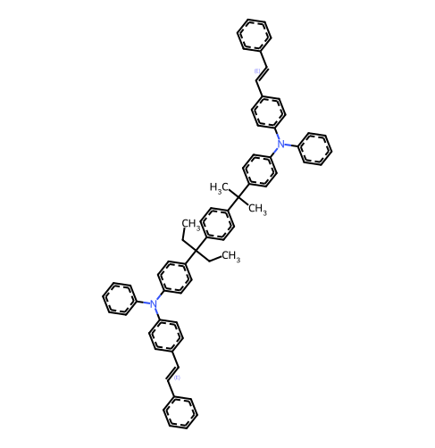 CCC(CC)(c1ccc(N(c2ccccc2)c2ccc(/C=C/c3ccccc3)cc2)cc1)c1ccc(C(C)(C)c2ccc(N(c3ccccc3)c3ccc(/C=C/c4ccccc4)cc3)cc2)cc1